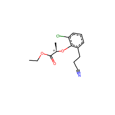 CCOC(=O)[C@@H](C)Oc1c(Cl)cccc1CCC#N